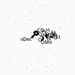 CCCCCCCCCCC#Cc1ccc(C(=O)O)c(OC[C@H](CC(=O)OC)NC(=O)CN(C)C(=O)CP(=O)(OCC)OCC)c1